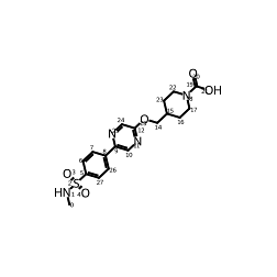 CNS(=O)(=O)c1ccc(-c2cnc(OCC3CCN(C(=O)O)CC3)cn2)cc1